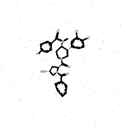 CN(C(=O)c1ccc(Cl)cc1)[C@@H]1CCN(C(=O)[C@@H]2C[C@@H](O)CN2C(=O)c2ccccc2)C[C@H]1c1ccc(Cl)c(Cl)c1